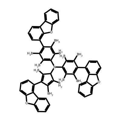 BC1=C(B)C(N(c2c(B)c(B)c(-c3cccc4c3oc3ccccc34)c(B)c2B)c2c(B)c(B)c(-c3cccc4oc5ccccc5c34)c(B)c2B)C(B)=C1c1cccc2oc3ccccc3c12